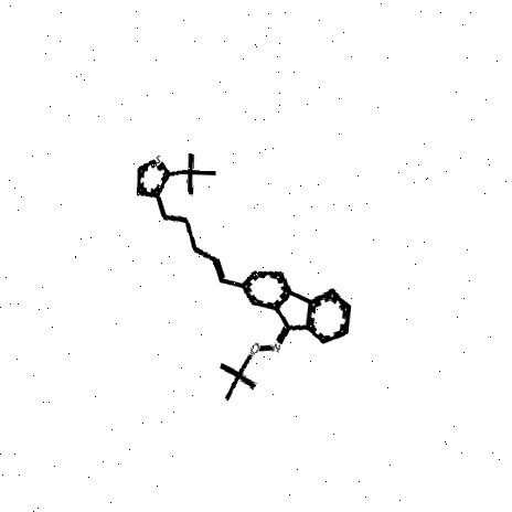 CC(C)(C)O/N=C1/c2ccccc2-c2ccc(/C=C/CCCc3ccsc3C(C)(C)C)cc21